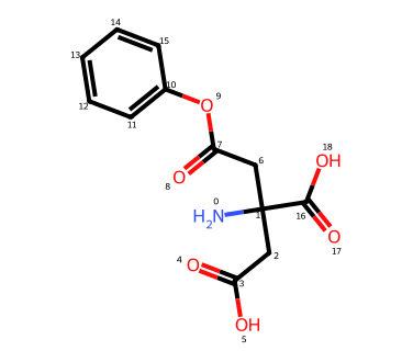 NC(CC(=O)O)(CC(=O)Oc1ccccc1)C(=O)O